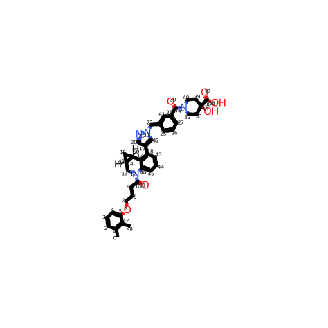 Cc1cccc(OCCCC(=O)N2C[C@@H]3C[C@@H]3c3c(-c4cnn(Cc5cccc(C(=O)N6CCC(O)(C(=O)O)CC6)c5)c4)cccc32)c1C